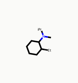 CCC1CCCCC1N(C)C(C)C